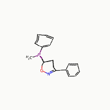 CP(c1ccccc1)C1CC(c2ccccc2)=NO1